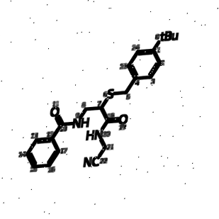 CC(C)(C)c1ccc(CSC(CNC(=O)c2ccccc2)C(=O)NCC#N)cc1